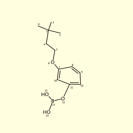 CC(C)(C)CCOc1cccc(OB(O)O)c1